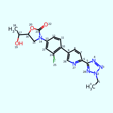 CCn1nnc(-c2ccc(-c3ccc(N4CC(C(C)O)OC4=O)cc3F)cn2)n1